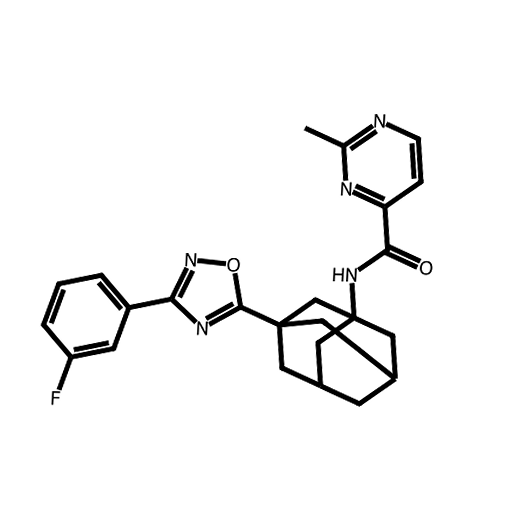 Cc1nccc(C(=O)NC23CC4CC(C2)CC(c2nc(-c5cccc(F)c5)no2)(C4)C3)n1